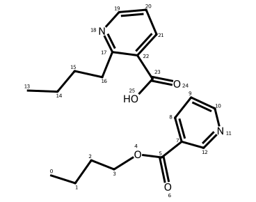 CCCCOC(=O)c1cccnc1.CCCCc1ncccc1C(=O)O